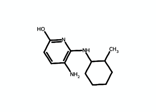 CC1CCCCC1Nc1nc(O)ccc1N